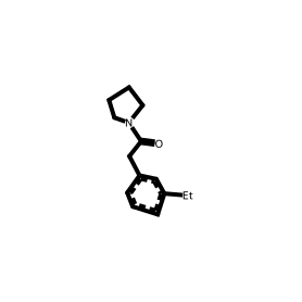 CCc1cccc(CC(=O)N2CCCC2)c1